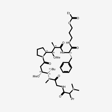 CCC(=O)OCCCNC(=O)[C@H](Cc1ccccc1)NC(=O)[C@H](C)[C@@H](OC)[C@@H]1CCCN1C(=O)C[C@@H](OC)[C@H]([C@@H](C)CC)N(C)C(=O)CNC(=O)C(C(C)C)N(C)C